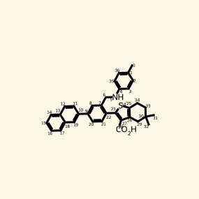 Cc1ccc(NCc2cc(-c3ccc4ccccc4c3)ccc2-c2sc3c(c2C(=O)O)CC(C)(C)CC3)cc1